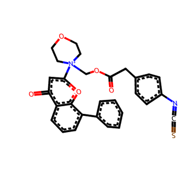 O=C(Cc1ccc(N=C=S)cc1)OC[N+]1(c2cc(=O)c3cccc(-c4ccccc4)c3o2)CCOCC1